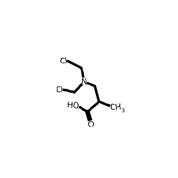 CC(CN(CCl)CCl)C(=O)O